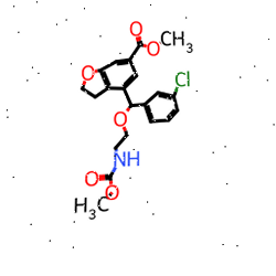 COC(=O)NCCOC(c1cccc(Cl)c1)c1cc(C(=O)OC)cc2c1CCO2